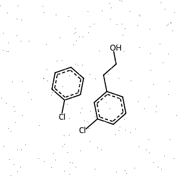 Clc1ccccc1.OCCc1cccc(Cl)c1